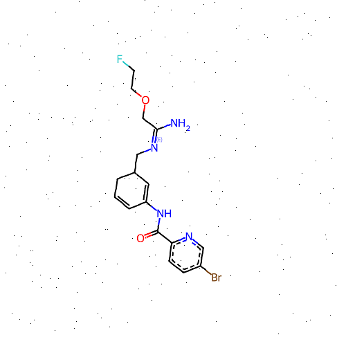 N/C(COCCF)=N/CC1C=C(NC(=O)c2ccc(Br)cn2)C=CC1